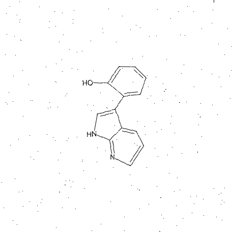 Oc1ccccc1-c1c[nH]c2ncccc12